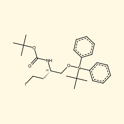 CC(C)(C)OC(=O)N[C@@H](CCI)CO[Si](c1ccccc1)(c1ccccc1)C(C)(C)C